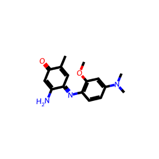 COc1cc(N(C)C)ccc1N=C1C=C(C)C(=O)C=C1N